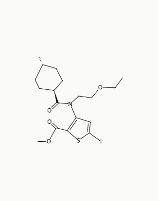 CCOCCN(c1cc(I)sc1C(=O)OC)C(=O)[C@H]1CC[C@H](C)CC1